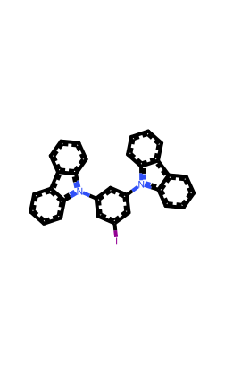 Ic1cc(-n2c3ccccc3c3ccccc32)cc(-n2c3ccccc3c3ccccc32)c1